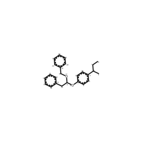 CCC(C)c1ccc(OC(Cc2ccccc2)OCc2ccccc2)cc1